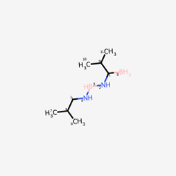 BC(NBNCC(C)C)C(C)C